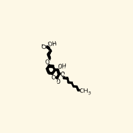 CCCCCCCCOc1c(O)c2cc(OCCCC(=O)O)ccc2oc1=O